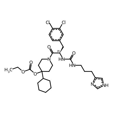 CCOC(=O)OC1(C2CCCCC2)CCN(C(=O)[C@@H](Cc2ccc(Cl)c(Cl)c2)NC(=O)NCCCc2c[nH]cn2)CC1